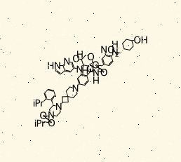 CC(C)c1ccccc1[C@@H]1CN(S(=O)(=O)C(C)C)CCN1C1CC2(CCN(c3ccc(C(=O)NS(=O)(=O)c4ccc(NC[C@H]5CC[C@](C)(O)CC5)c([N+](=O)[O-])c4)c(N4c5cc6cc[nH]c6nc5O[C@H]5COCC[C@@H]54)c3)CC2)C1